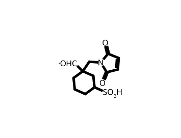 O=[C]C1(CN2C(=O)C=CC2=O)CCCC(S(=O)(=O)O)C1